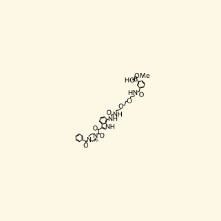 COB(O)c1cccc(C(=O)NCCOCCOCCNC(=O)Nc2cccc3c(C(=O)C(=O)N4CCN(C(=O)c5ccccc5)C[C@H]4C)c[nH]c23)c1